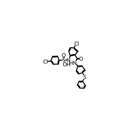 O=C(Nc1ccc(Sc2ccccc2)cc1)c1cc(Cl)ccc1NS(=O)(=O)c1ccc(Cl)cc1